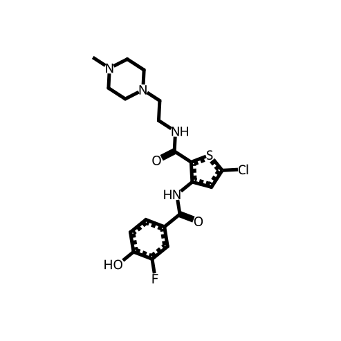 CN1CCN(CCNC(=O)c2sc(Cl)cc2NC(=O)c2ccc(O)c(F)c2)CC1